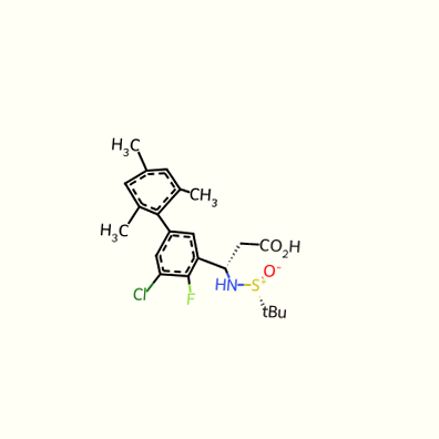 Cc1cc(C)c(-c2cc(Cl)c(F)c([C@H](CC(=O)O)N[S@+]([O-])C(C)(C)C)c2)c(C)c1